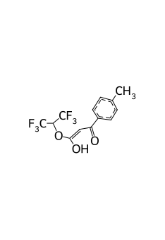 Cc1ccc(C(=O)/C=C(\O)OC(C(F)(F)F)C(F)(F)F)cc1